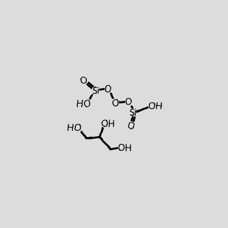 O=[Si](O)OOO[Si](=O)O.OCC(O)CO